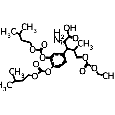 CCOC(=O)OCC(C)C(c1ccc(OC(=O)OCCC(C)C)c(OC(=O)OCCC(C)C)c1)[C@H](N)C(=O)O